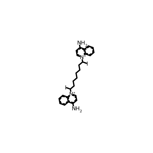 Nc1cc[n+](C(I)CCCCCCC(I)[n+]2ccc(N)c3ccccc32)c2ccccc12